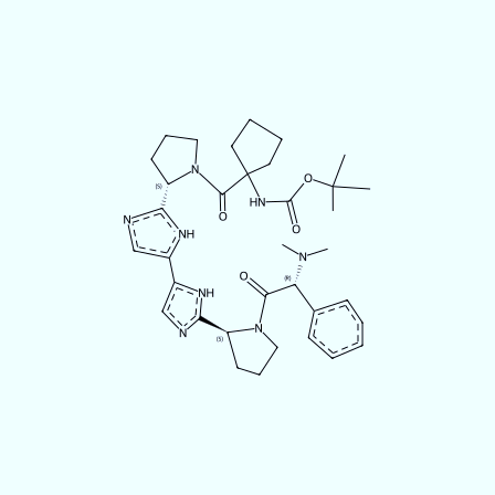 CN(C)[C@@H](C(=O)N1CCC[C@H]1c1ncc(-c2cnc([C@@H]3CCCN3C(=O)C3(NC(=O)OC(C)(C)C)CCCC3)[nH]2)[nH]1)c1ccccc1